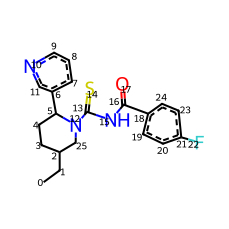 CCC1CCC(c2cccnc2)N(C(=S)NC(=O)c2ccc(F)cc2)C1